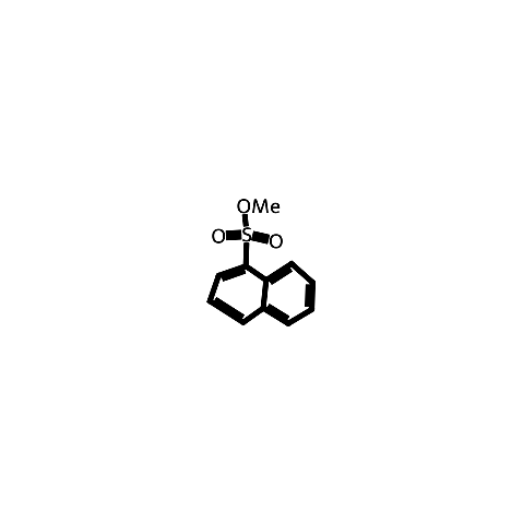 COS(=O)(=O)c1cccc2ccccc12